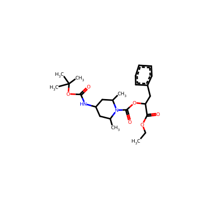 CCOC(=O)C(Cc1ccccc1)OC(=O)N1C(C)CC(NC(=O)OC(C)(C)C)CC1C